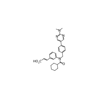 CN(C)c1ncc(-c2ccc(CN(C(=O)C3CCCCC3)c3cccc(C=CC(=O)O)c3)cc2)cn1